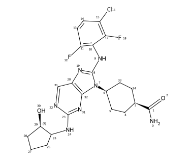 NC(=O)[C@H]1CC[C@@H](n2c(Nc3c(F)ccc(Cl)c3F)nc3cnc(NC4CCC[C@H]4O)nc32)CC1